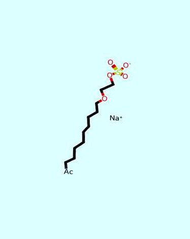 CC(=O)CCCCCCCCCOCCOS(=O)(=O)[O-].[Na+]